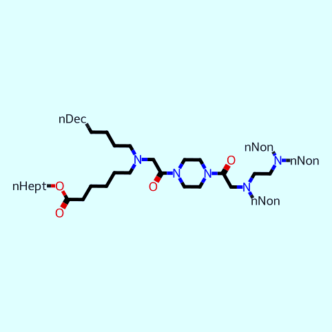 CCCCCCCCCCCCCCN(CCCCCC(=O)OCCCCCCC)CC(=O)N1CCN(C(=O)CN(CCCCCCCCC)CCN(CCCCCCCCC)CCCCCCCCC)CC1